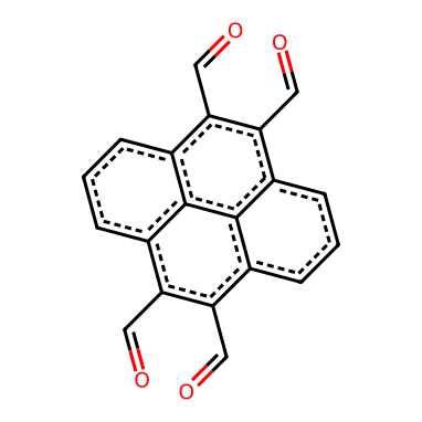 O=Cc1c(C=O)c2cccc3c(C=O)c(C=O)c4cccc1c4c23